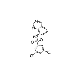 O=S(=O)(Nc1cccc2cncnc12)c1cc(Cl)cc(Cl)c1